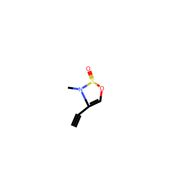 C#CC1=COS(=O)N1C